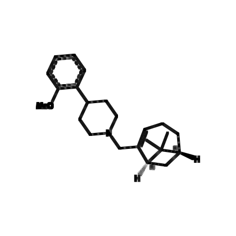 COc1ccccc1C1CCN(CC2=CCC[C@@H]3C[C@@H]2C3(C)C)CC1